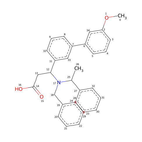 COc1cccc(-c2cccc(C(CC(=O)O)N(Cc3ccccc3)C(C)c3ccccc3)c2)c1